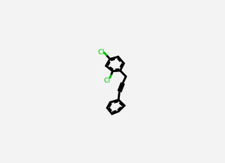 Clc1ccc(CC#Cc2ccccc2)c(Cl)c1